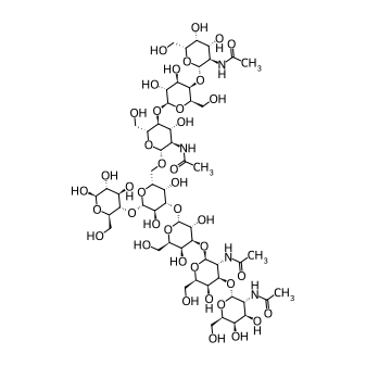 CC(=O)N[C@H]1[C@H](OC[C@H]2O[C@@H](O[C@H]3[C@H](O)[C@@H](O)[C@H](O)O[C@@H]3CO)[C@H](O)[C@@H](O[C@H]3O[C@H](CO)[C@H](O)[C@H](O[C@@H]4O[C@H](CO)[C@H](O)[C@H](O[C@H]5O[C@H](CO)[C@H](O)[C@H](O)[C@H]5NC(C)=O)[C@H]4NC(C)=O)[C@H]3O)[C@H]2O)O[C@H](CO)[C@@H](O[C@@H]2O[C@H](CO)[C@H](O[C@@H]3O[C@H](CO)[C@H](O)[C@H](O)[C@H]3NC(C)=O)[C@H](O)[C@H]2O)[C@@H]1O